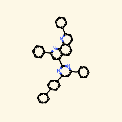 c1ccc(-c2ccc(-c3cc(-c4ccccc4)nc(-c4cc(-c5ccccc5)nc5c4ccc4ccc(-c6ccccc6)nc45)n3)cc2)cc1